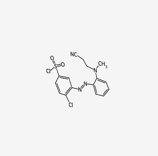 CN(CCC#N)c1ccccc1N=Nc1cc(S(=O)(=O)Cl)ccc1Cl